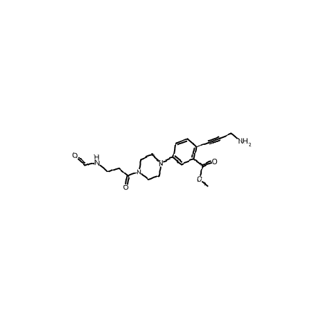 COC(=O)c1cc(N2CCN(C(=O)CCNC=O)CC2)ccc1C#CCN